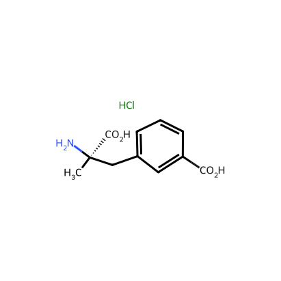 C[C@@](N)(Cc1cccc(C(=O)O)c1)C(=O)O.Cl